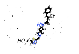 CCC(=Cc1ccccc1)C1C[C@@H]1NC1CC2(C1)CN(Cc1ncc(C(=O)O)s1)C2